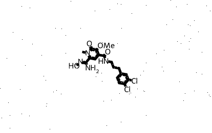 COc1c(C(=O)NCCCc2ccc(Cl)c(Cl)c2)cc(/C(N)=N/O)n(C)c1=O